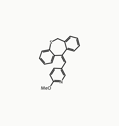 COc1ccc(C=C2c3ccccc3CSc3ccccc32)cn1